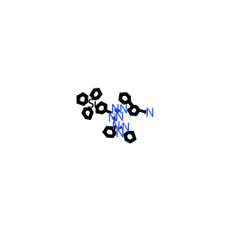 N#Cc1ccc2c(c1)c1ccccc1n2-c1nc(-c2ccc([Si](c3ccccc3)(c3ccccc3)c3ccccc3)cc2)nc(-n2c3ccccc3n3c4ccccc4nc23)n1